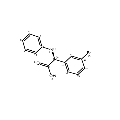 O=C(O)[C@@H](Nc1ccccc1)c1cccc(Br)c1